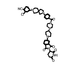 N#Cc1ccc(N2CCC3(CC2)CCN(c2ccc(C(=O)N4CCN(C5CCN(c6ccc7c(c6)C(=O)N(C6CCC(=O)NC6=O)C7=O)CC5)CC4)cc2)C3)cc1Cl